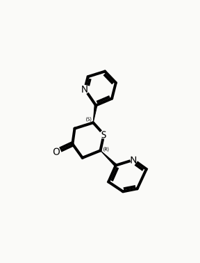 O=C1C[C@@H](c2ccccn2)S[C@@H](c2ccccn2)C1